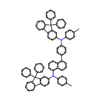 Fc1ccc(N(c2ccc(-c3cccc4c(N(c5ccc(F)cc5)c5ccc6c(c5)C(c5ccccc5)(c5ccccc5)c5ccccc5-6)cccc34)cc2)c2ccc3c(c2)C(c2ccccc2)(c2ccccc2)c2ccccc2-3)cc1